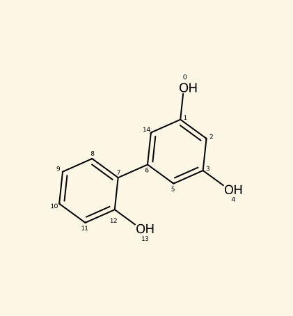 Oc1cc(O)cc(-c2ccccc2O)c1